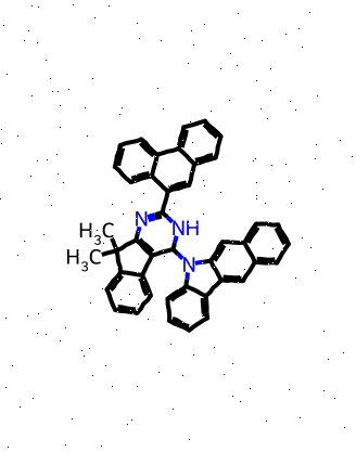 CC1(C)C2=C(c3ccccc31)C(n1c3ccccc3c3cc4ccccc4cc31)NC(c1cc3ccccc3c3ccccc13)=N2